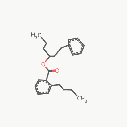 CCCCc1ccccc1C(=O)OC(CCC)CCc1ccccc1